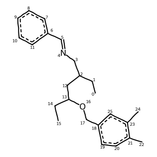 CCC(CN=Cc1ccccc1)CC(CC)OCc1ccc(C)c(C)c1